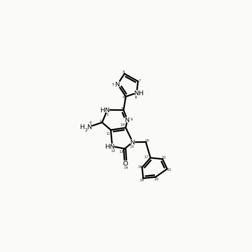 NC1NC(c2ncc[nH]2)=Nc2c1[nH]c(=O)n2Cc1ccccc1